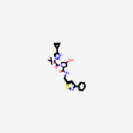 CC(C)(C)[C@@H](C(=O)N1CC(O)CC1C(=O)NCc1cc(-c2ccccc2)ns1)n1cc(C2CC2)nn1